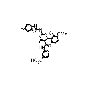 COc1cccc(C2N=C(Nc3nc4ccc(F)cc4o3)NC(C)=C2C(=O)Nc2cc(C(=O)O)ccn2)c1Cl